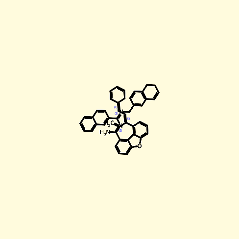 C=C/C(=C\C=C1\C=CC=CC1)c1cccc2oc3cccc(/C(N)=N/C(=N\Cc4ccc5c(c4)C=CCC5)c4ccc5ccccc5c4)c3c12